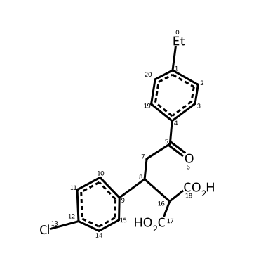 CCc1ccc(C(=O)CC(c2ccc(Cl)cc2)C(C(=O)O)C(=O)O)cc1